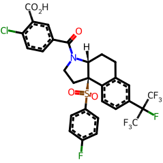 O=C(O)c1cc(C(=O)N2CC[C@@]3(S(=O)(=O)c4ccc(F)cc4)c4ccc(C(F)(C(F)(F)F)C(F)(F)F)cc4CC[C@@H]23)ccc1Cl